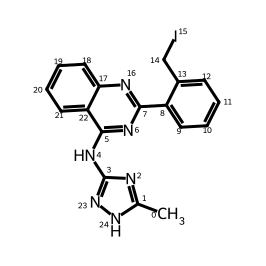 Cc1nc(Nc2nc(-c3ccccc3CI)nc3ccccc23)n[nH]1